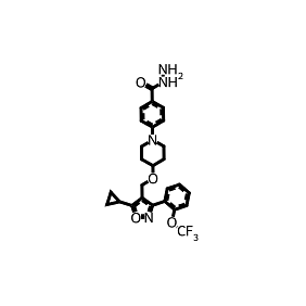 NNC(=O)c1ccc(N2CCC(OCc3c(-c4ccccc4OC(F)(F)F)noc3C3CC3)CC2)cc1